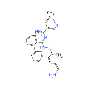 C=C(/C=C\C=C/N)CN/C(=N/C(=N)c1cncc(C)c1)c1c(C)cccc1-c1ccccc1